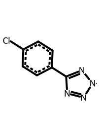 Clc1ccc(C2=N[N]N=N2)cc1